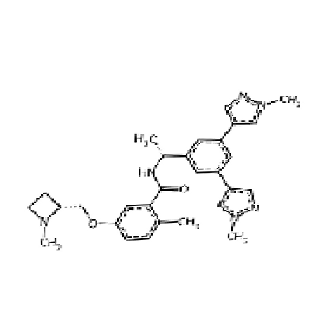 Cc1ccc(OC[C@H]2CCN2C)cc1C(=O)N[C@H](C)c1cc(-c2cnn(C)c2)cc(-c2cnn(C)c2)c1